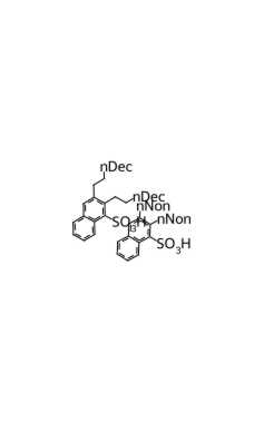 CCCCCCCCCCCCc1cc2ccccc2c(S(=O)(=O)O)c1CCCCCCCCCCCC.CCCCCCCCCc1cc2ccccc2c(S(=O)(=O)O)c1CCCCCCCCC